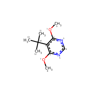 COc1ncnc(OC)c1C(C)(C)C